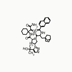 CC(C)(O)c1cnnn1[C@H]1C[C@@H](C(=O)NC2(C(=O)C(N)=O)CCCCC2)N(C(=O)C(CC23CCC(CC2)C3)NC(=O)c2ccc3ccccc3c2)C1